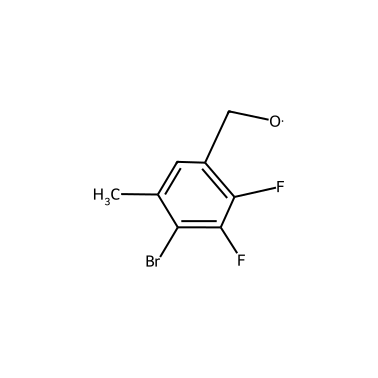 Cc1cc(C[O])c(F)c(F)c1Br